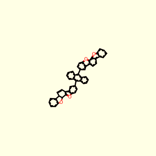 C1=CC2c3ccccc3OC2c2oc3ccc(-c4c5ccccc5c(-c5ccc6oc7c(ccc8c9ccccc9oc87)c6c5)c5ccccc45)cc3c21